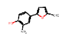 O=Cc1ccc(-c2ccc(O)c([N+](=O)[O-])c2)o1